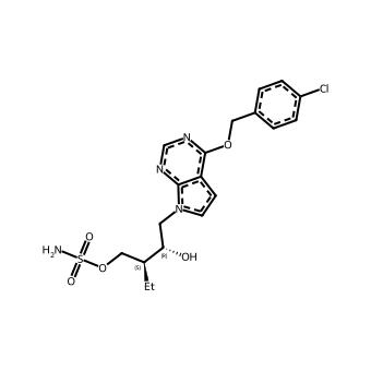 CC[C@@H](COS(N)(=O)=O)[C@@H](O)Cn1ccc2c(OCc3ccc(Cl)cc3)ncnc21